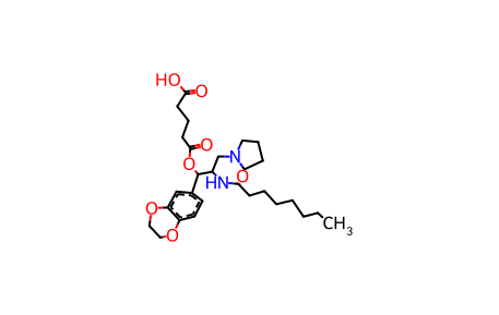 CCCCCCCC(=O)NC(CN1CCCC1)C(OC(=O)CCCC(=O)O)c1ccc2c(c1)OCCO2